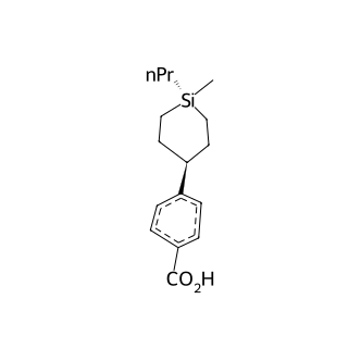 CCC[Si@]1(C)CC[C@@H](c2ccc(C(=O)O)cc2)CC1